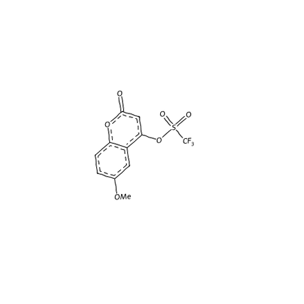 COc1ccc2oc(=O)cc(OS(=O)(=O)C(F)(F)F)c2c1